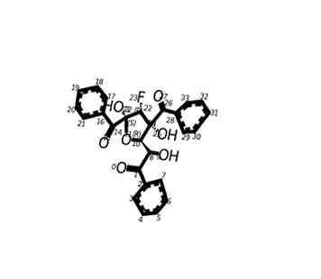 O=C(c1ccccc1)C(O)[C@H]1O[C@@](O)(C(=O)c2ccccc2)[C@H](F)[C@@]1(O)C(=O)c1ccccc1